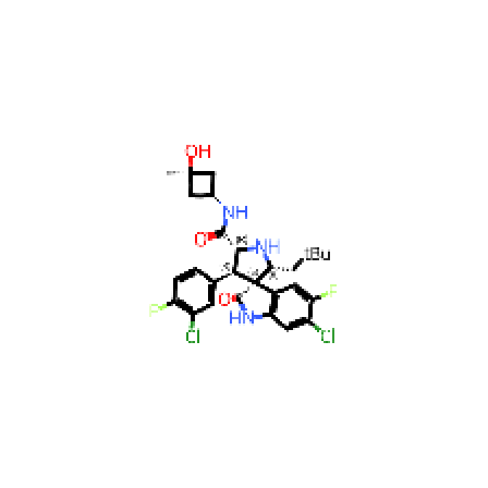 CC(C)(C)C[C@H]1N[C@@H](C(=O)N[C@H]2C[C@](C)(O)C2)[C@H](c2ccc(F)c(Cl)c2)[C@@]12C(=O)Nc1cc(Cl)c(F)cc12